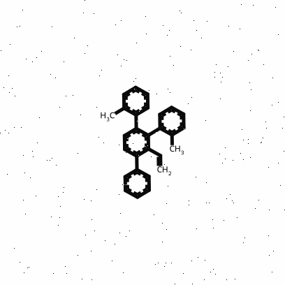 C=Cc1c(-c2ccccc2)ccc(-c2ccccc2C)c1-c1ccccc1C